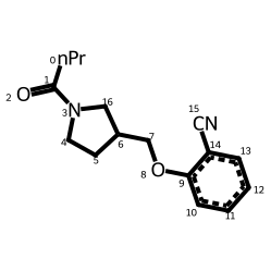 CCCC(=O)N1CCC(COc2ccccc2C#N)C1